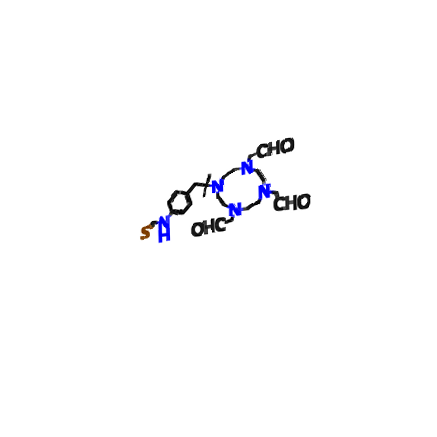 CC(C)(Cc1ccc(NC=S)cc1)N1CCN(CC=O)CCN(CC=O)CCN(CC=O)CC1